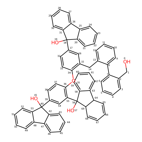 OCc1ccccc1-c1ccccc1Cc1cc(C2(O)c3ccccc3-c3ccccc32)ccc1Oc1ccc(C2(O)c3ccccc3-c3ccccc32)cc1C1(O)c2ccccc2C2C=CC=CC21